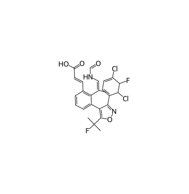 C/C(=C/NC=O)c1c(/C=C/C(=O)O)cccc1-c1c(C2=CC=C(Cl)C(F)C2Cl)noc1C(C)(C)F